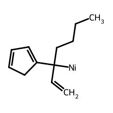 C=C[C]([Ni])(CCCC)C1=CC=CC1